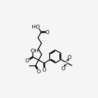 CC(=O)C(CCCCC(=O)O)(C(=O)O)C(=O)c1cccc(S(C)(=O)=O)c1